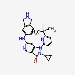 CC(C)(F)c1cccc(-n2c3cc(Nc4ccc5c(c4)CNC5)ncc3c(=O)n2C2CC2)n1